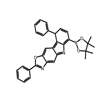 CC1(C)OB(C2=C3N=c4cc5nc(-c6ccccc6)oc5cc4=C3C(c3ccccc3)C=C2)OC1(C)C